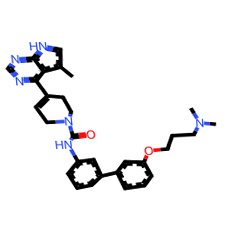 Cc1c[nH]c2ncnc(C3=CCN(C(=O)Nc4cccc(-c5cccc(OCCCN(C)C)c5)c4)CC3)c12